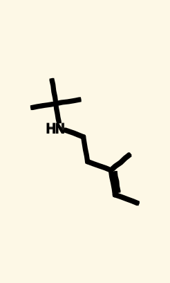 C/C=C(\C)CCNC(C)(C)C